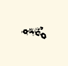 O=C(N[C@@H]1CCN(C2CCCCC2)C[C@H]1C(=O)N1CCC1)c1cn(-c2ccc(F)cc2F)nn1